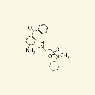 CN(C1CCCCC1)S(=O)(=O)CCNCc1cc(C(=O)c2ccccc2)ccc1N